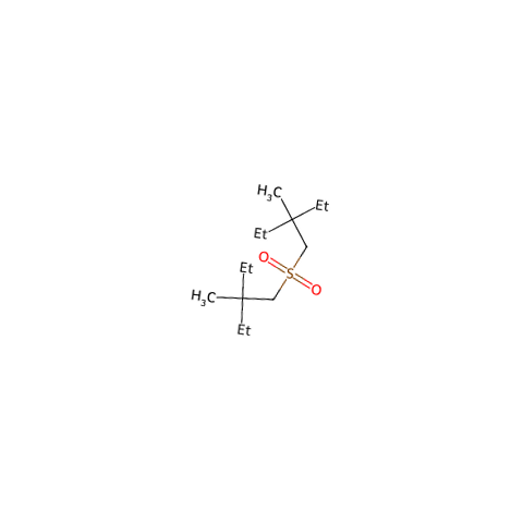 CCC(C)(CC)CS(=O)(=O)CC(C)(CC)CC